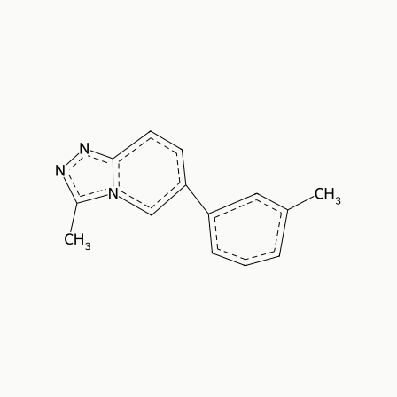 Cc1cccc(-c2ccc3nnc(C)n3c2)c1